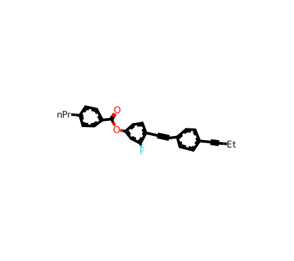 CCC#Cc1ccc(C#Cc2ccc(OC(=O)c3ccc(CCC)cc3)cc2F)cc1